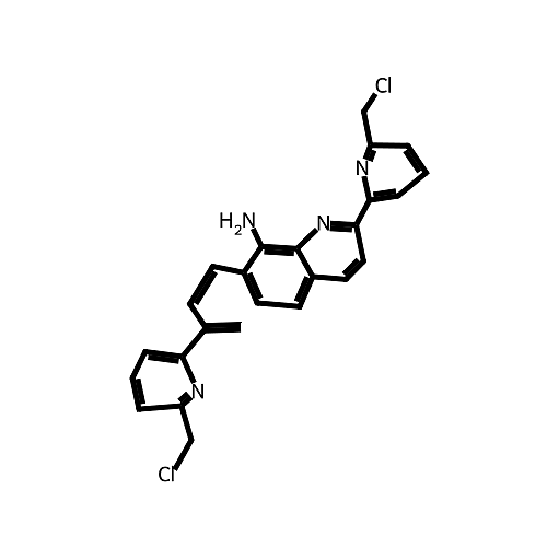 C=C(/C=C\c1ccc2ccc(-c3cccc(CCl)n3)nc2c1N)c1cccc(CCl)n1